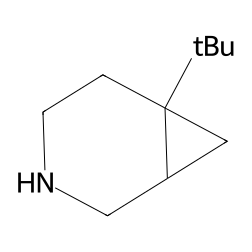 CC(C)(C)C12CCNCC1C2